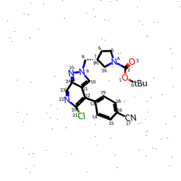 CC(C)(C)OC(=O)N1CC[C@@H](Cn2cc3c(-c4ccc(C#N)cc4)c(Cl)ncc3n2)C1